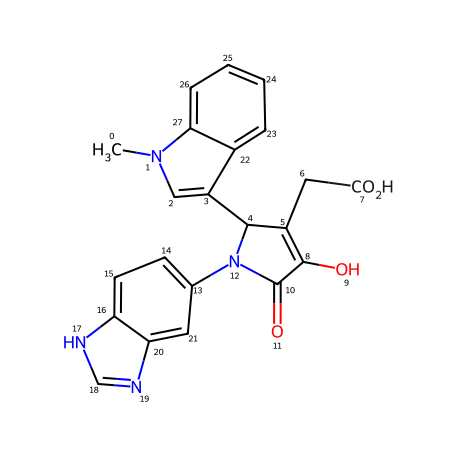 Cn1cc(C2C(CC(=O)O)=C(O)C(=O)N2c2ccc3[nH]cnc3c2)c2ccccc21